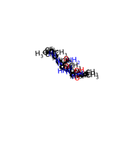 C[C@@H]1CC(N2CCN(c3ccc(Nc4nc(-c5ccnc(N6CCn7c(cc8c7CC(C)(C)C8)C6=O)c5CO)cn(C)c4=O)cc3C=CC(N)=O)[C@@H](C)C2)CCN1c1cccc(C(C)(C)C(F)(F)F)n1